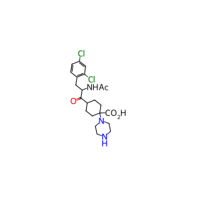 CC(=O)NC(Cc1ccc(Cl)cc1Cl)C(=O)C1CCC(C(=O)O)(N2CCNCC2)CC1